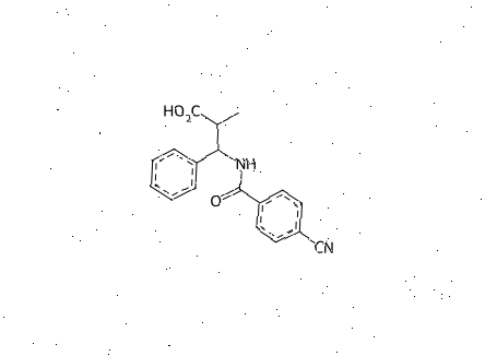 CC(C(=O)O)C(NC(=O)c1ccc(C#N)cc1)c1ccccc1